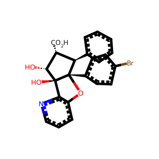 O=C(O)[C@H]1[C@@H](O)[C@@]2(O)c3ncccc3O[C@@]2(c2ccc(Br)cc2)[C@@H]1c1ccccc1